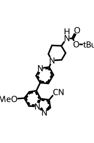 COc1cc(-c2ccc(N3CCC(NC(=O)OC(C)(C)C)CC3)nc2)c2c(C#N)cnn2c1